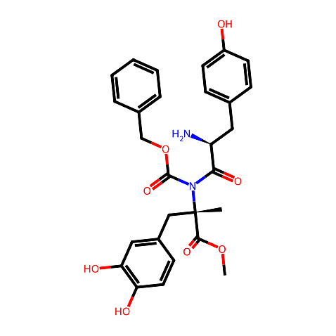 COC(=O)[C@](C)(Cc1ccc(O)c(O)c1)N(C(=O)OCc1ccccc1)C(=O)[C@@H](N)Cc1ccc(O)cc1